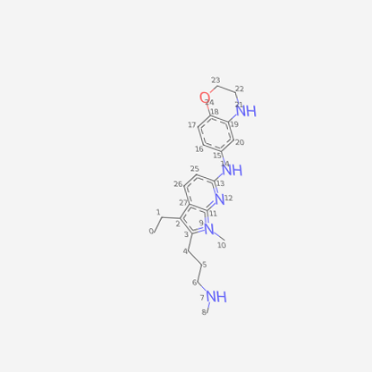 CCc1c(CCCNC)n(C)c2nc(Nc3ccc4c(c3)NCCO4)ccc12